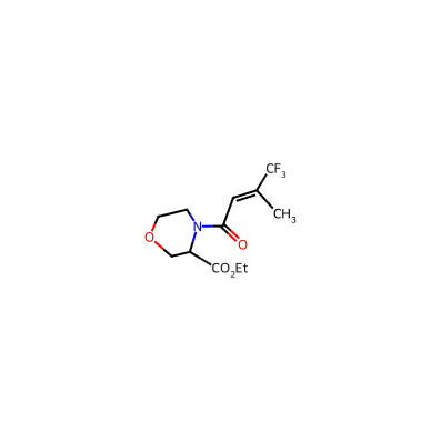 CCOC(=O)C1COCCN1C(=O)/C=C(\C)C(F)(F)F